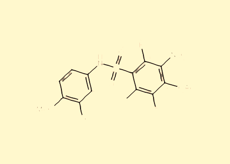 COc1ccc(NS(=O)(=O)c2c(F)c(F)c(OC(C)=O)c([N+](=O)[O-])c2F)cc1O